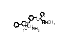 CNCCC(OCc1cccc(CN2CCC(c3ccccc3)CC2(C)C)c1)c1cccs1.N